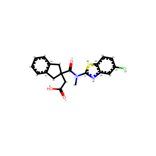 CN(C(=O)C1(CC(=O)O)Cc2ccccc2C1)c1nc2cc(Cl)ccc2s1